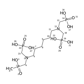 CP(=O)(O)CN(CCCCCCN(CP(=O)(O)O)CP(=O)(O)O)CP(=O)(O)O